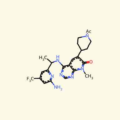 CC(=O)N1CCC(c2cc3c(NC(C)c4cc(C(F)(F)F)cc(N)n4)ncnc3n(C)c2=O)CC1